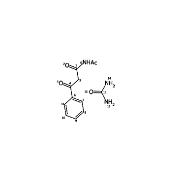 CC(=O)NC(=O)CC(=O)c1ccccc1.NC(N)=O